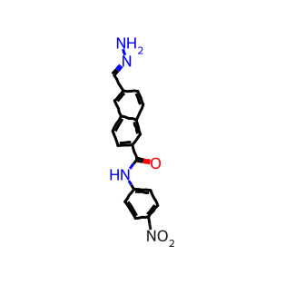 NN=Cc1ccc2cc(C(=O)Nc3ccc([N+](=O)[O-])cc3)ccc2c1